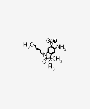 CC/C=C/CN1C(=O)C(C)(C)c2cc(N)c([N+](=O)[O-])cc21